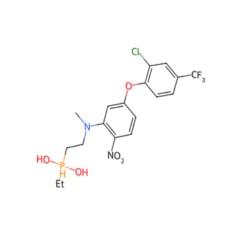 CC[PH](O)(O)CCN(C)c1cc(Oc2ccc(C(F)(F)F)cc2Cl)ccc1[N+](=O)[O-]